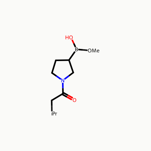 COB(O)C1CCN(C(=O)CC(C)C)C1